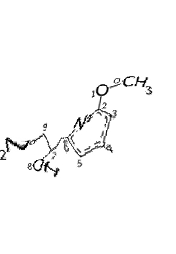 COc1cccc(C(O)CN)n1